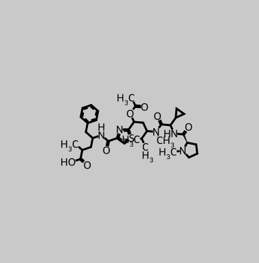 CC(=O)OC(CC(C(C)C)N(C)C(=O)C(NC(=O)[C@H]1CCCN1C)C1CC1)c1nc(C(=O)NC(Cc2ccccc2)CC(C)C(=O)O)cs1